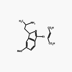 CCc1nn(CC(C)N)c2cc(SC)ccc12.O=C(O)C=CC(=O)O